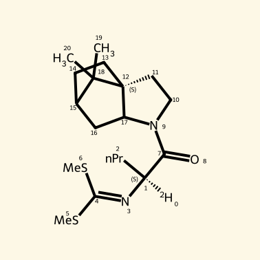 [2H][C@@](CCC)(N=C(SC)SC)C(=O)N1CC[C@]23CCC(CC12)C3(C)C